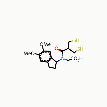 COc1cc2c(cc1OC)C(N(CC(=O)O)C(=O)C(CS)CS)CC2